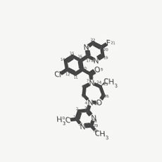 Cc1cc(N2CCN(C(=O)c3cc(Cl)ccc3-c3ncc(F)cn3)[C@H](C)CO2)nc(C)n1